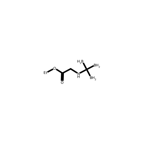 BC(B)(B)NCC(=O)OCC